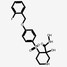 O=C(NO)C1(O)CNCCC1S(=O)(=O)c1ccc(OCc2ccccc2F)cc1